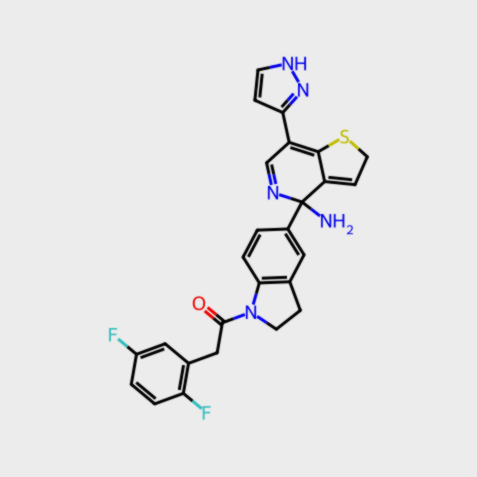 NC1(c2ccc3c(c2)CCN3C(=O)Cc2cc(F)ccc2F)N=CC(c2cc[nH]n2)=C2SCC=C21